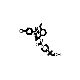 CCC1CCCC(C2(OC(=O)N3CCN(C(C)(C)CO)CC3)CC2)N1S(=O)(=O)c1ccc(Cl)cc1